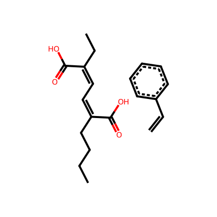 C=Cc1ccccc1.CCCCC(=CC=C(CC)C(=O)O)C(=O)O